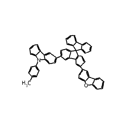 Cc1ccc(-n2c3ccccc3c3cc(-c4ccc5c(c4)-c4cc(-c6ccc7oc8ccccc8c7c6)ccc4C54c5ccccc5-c5ccccc54)ccc32)cc1